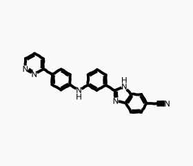 N#Cc1ccc2nc(-c3cccc(Nc4ccc(-c5cccnn5)cc4)c3)[nH]c2c1